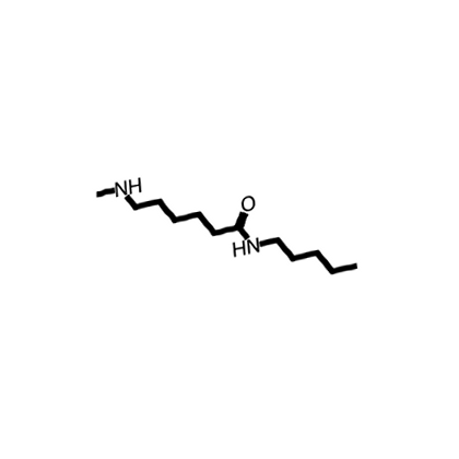 CCCCCNC(=O)CCCCCNC